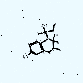 CCC(C)(O)N1c2ccc(N)cc2CC(C)C1(C)C